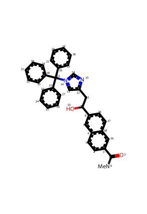 CNC(=O)c1ccc2cc(C(O)Cc3cn(C(c4ccccc4)(c4ccccc4)c4ccccc4)cn3)ccc2c1